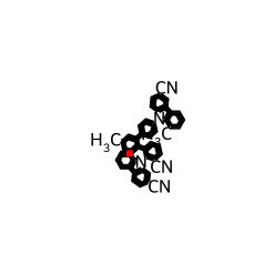 CC1C=C(c2ccc(-n3c4c(c5cc(C#N)ccc53)C=CCC4C)cc2)C(c2cccc(C#N)c2-n2c3c(c4ccc(C#N)cc42)CCC=C3)=CC1